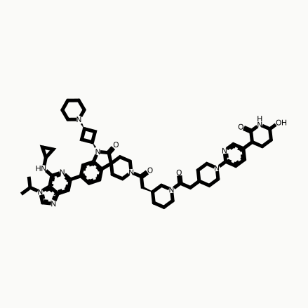 CC(C)n1cnc2cc(-c3ccc4c(c3)N([C@H]3C[C@@H](N5CCCCC5)C3)C(=O)C43CCN(C(=O)C[C@@H]4CCCN(C(=O)CC5CCN(c6ccc(C7CCC(O)NC7=O)cn6)CC5)C4)CC3)nc(NC3CC3)c21